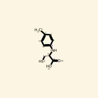 Cc1ccc(N[C@@H](CS)C(=O)O)cc1